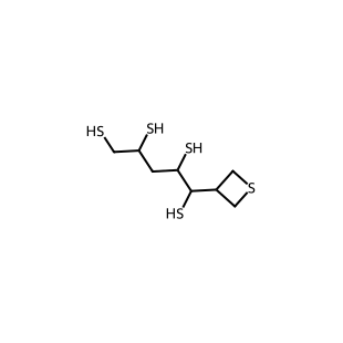 SCC(S)CC(S)C(S)C1CSC1